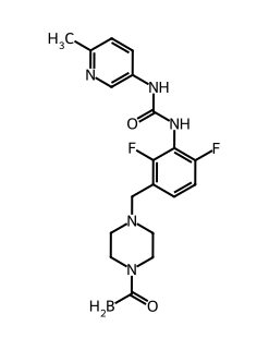 BC(=O)N1CCN(Cc2ccc(F)c(NC(=O)Nc3ccc(C)nc3)c2F)CC1